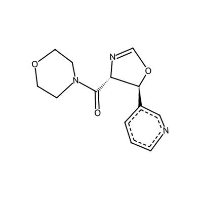 O=C([C@@H]1N=CO[C@H]1c1cccnc1)N1CCOCC1